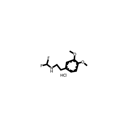 COc1ccc(CCNC(F)F)cc1OC.Cl